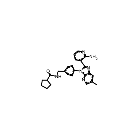 Cc1cnc2c(c1)nc(-c1cccnc1N)n2-c1ccc(CNC(=O)C2CCCC2)cc1